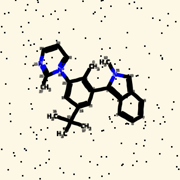 Cc1c(-c2c3ccccc3cn2C)cc(C(C)(C)C)cc1-[n+]1cccnc1C